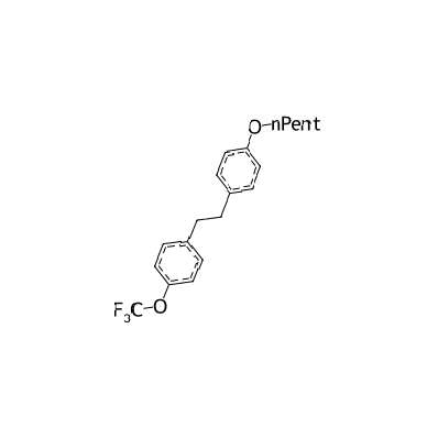 CCCCCOc1ccc(CCc2ccc(OC(F)(F)F)cc2)cc1